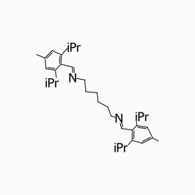 Cc1cc(C(C)C)c(/C=N/CCCCCC/N=C/c2c(C(C)C)cc(C)cc2C(C)C)c(C(C)C)c1